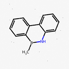 CB1Nc2ccccc2-c2ccccc21